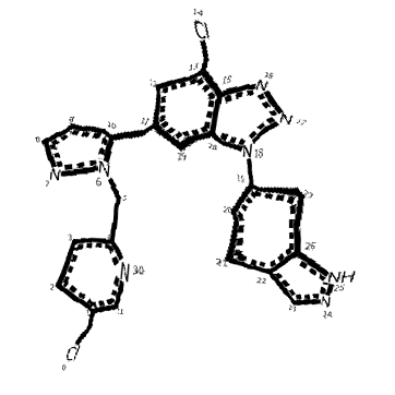 Clc1ccc(Cn2nccc2-c2cc(Cl)c3nnn(-c4ccc5cn[nH]c5c4)c3c2)nc1